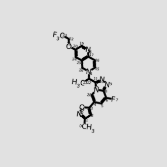 Cc1cc(-c2cc(F)c3nnc(C(C)N4C=Cc5ncc(OCC(F)(F)F)cc5C4)n3c2)on1